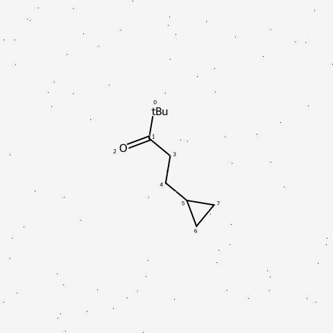 CC(C)(C)C(=O)CCC1CC1